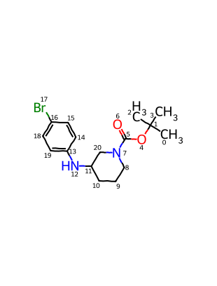 CC(C)(C)OC(=O)N1CCCC(Nc2ccc(Br)cc2)C1